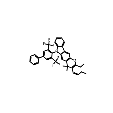 CC/C=C\C1=C(CC)Oc2cc3c4ccccc4n(-c4c(C(F)(F)F)cc(-c5ccccc5)cc4C(F)(F)F)c3cc2C1(C)C